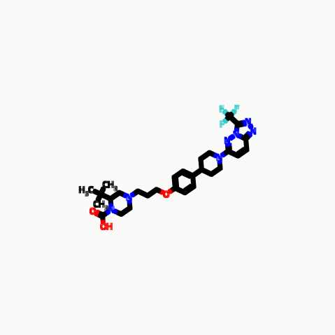 CC(C)(C)C1CN(CCCOc2ccc(C3CCN(c4ccc5nnc(C(F)(F)F)n5n4)CC3)cc2)CCN1C(=O)O